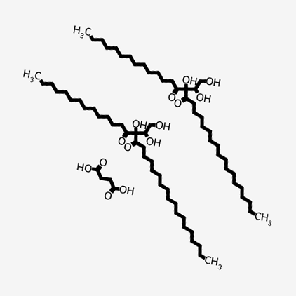 CCCCCCCCCCCCCCCCCC(=O)C(O)(C(=O)CCCCCCCCCCCCC)C(O)CO.CCCCCCCCCCCCCCCCCC(=O)C(O)(C(=O)CCCCCCCCCCCCC)C(O)CO.O=C(O)CCC(=O)O